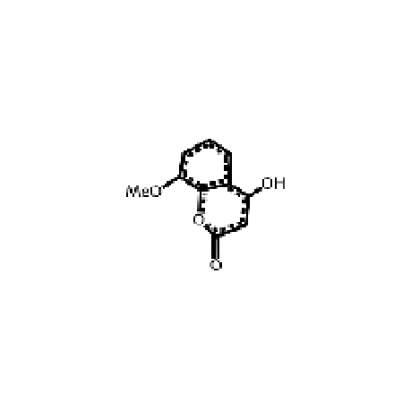 COc1cccc2c(O)cc(=O)oc12